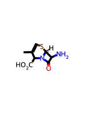 CC1=CS[C@H]2C(N)C(=O)N2C1C(=O)O